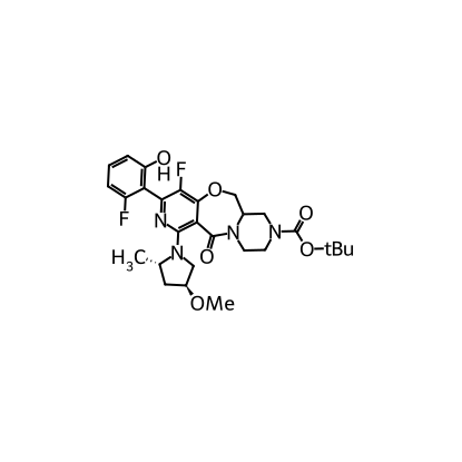 CO[C@H]1C[C@H](C)N(c2nc(-c3c(O)cccc3F)c(F)c3c2C(=O)N2CCN(C(=O)OC(C)(C)C)CC2CO3)C1